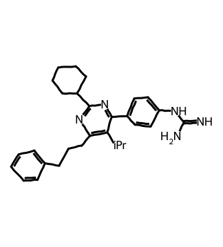 CC(C)c1c(CCCc2ccccc2)nc(C2CCCCC2)nc1-c1ccc(NC(=N)N)cc1